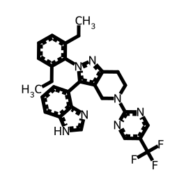 CCc1cccc(CC)c1-n1nc2c(c1-c1cccc3[nH]cnc13)CN(c1ncc(C(F)(F)F)cn1)CC2